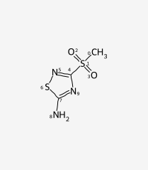 CS(=O)(=O)c1nsc(N)n1